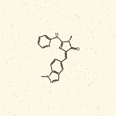 CN1C(=O)/C(=C/c2ccc3c(cnn3C)c2)N=C1Nc1ccccn1